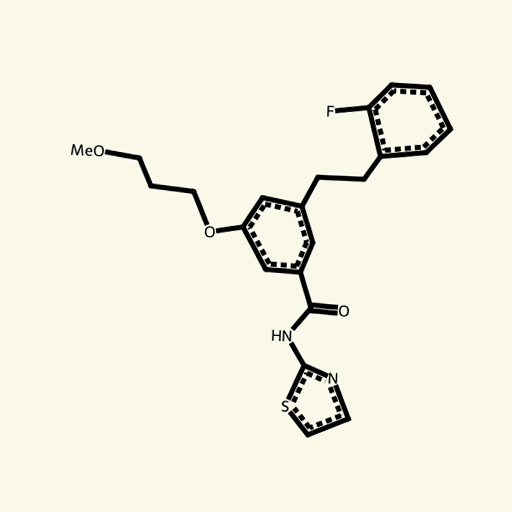 COCCCOc1cc(CCc2ccccc2F)cc(C(=O)Nc2nccs2)c1